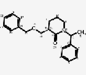 CC(c1ccccc1)N1CCC[C@H](COCc2ccccc2)C1=O